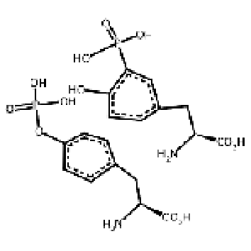 N[C@@H](Cc1ccc(O)c(P(=O)(O)O)c1)C(=O)O.N[C@@H](Cc1ccc(OP(=O)(O)O)cc1)C(=O)O